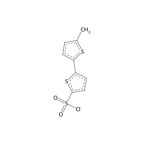 Cc1ccc(-c2ccc(S(=O)(=O)Cl)s2)s1